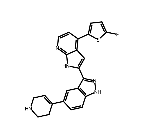 Fc1ccc(-c2ccnc3[nH]c(-c4n[nH]c5ccc(C6=CCNCC6)cc45)cc23)s1